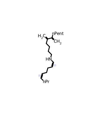 C=C(CCCCC)C(=C)CCCCN/C=C\CC/C=C\CCC